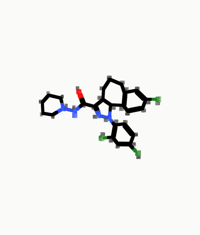 O=C(NN1CCCCC1)C1=NN(c2ccc(Cl)cc2Cl)C2c3ccc(Cl)cc3CCCC12